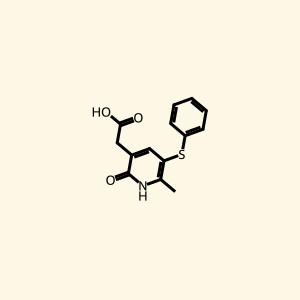 Cc1[nH]c(=O)c(CC(=O)O)cc1Sc1ccccc1